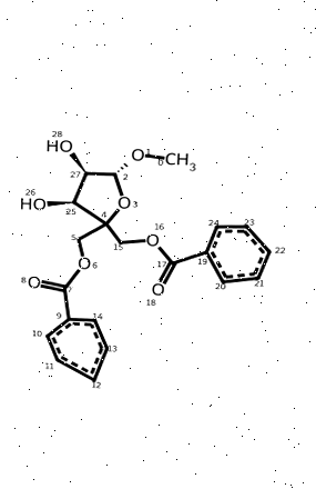 CO[C@@H]1OC(COC(=O)c2ccccc2)(COC(=O)c2ccccc2)[C@@H](O)[C@H]1O